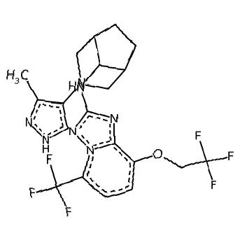 Cc1n[nH]cc1N1CC2CCC(C1)C2Nc1nc2c(OCC(F)(F)F)ccc(C(F)(F)F)n2n1